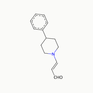 O=CC=CN1CCC(c2ccccc2)CC1